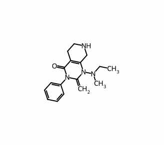 C=C1N(c2ccccc2)C(=O)C2=C(CNCC2)N1N(C)CC